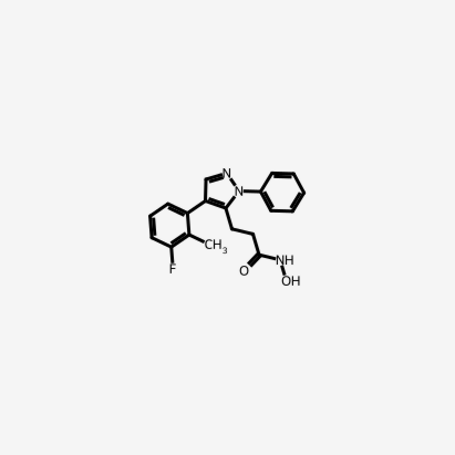 Cc1c(F)cccc1-c1cnn(-c2ccccc2)c1CCC(=O)NO